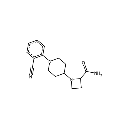 N#Cc1ccccc1N1CCC(N2C[CH]C2C(N)=O)CC1